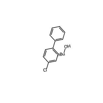 CCCCO.Clc1ccc(-c2ccccc2)cc1